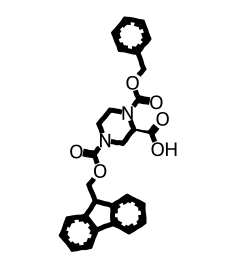 O=C(O)[C@H]1CN(C(=O)OCC2c3ccccc3-c3ccccc32)CCN1C(=O)OCc1ccccc1